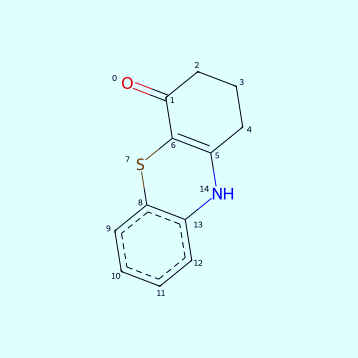 O=C1CCCC2=C1Sc1ccccc1N2